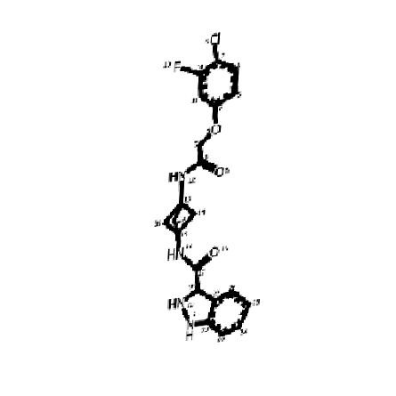 O=C(COc1ccc(Cl)c(F)c1)NC12CC(NC(=O)C3NNc4ccccc43)(C1)C2